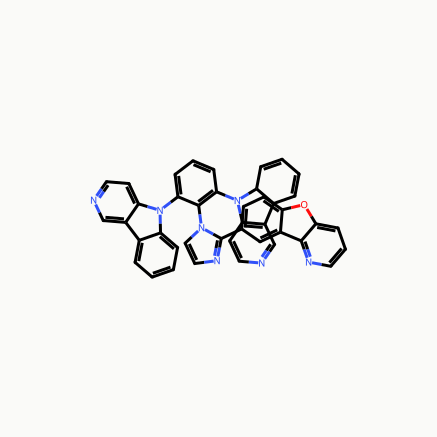 C1=CC2c3cnccc3N(c3cccc(-n4c5ccccc5c5cnccc54)c3-n3ccnc3-c3ccc4oc5cccnc5c4c3)C2C=C1